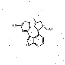 Nc1nccc(-c2c[nH]c3nccc(N4C[C@@H](F)C[C@H]4C(=O)O)c23)n1